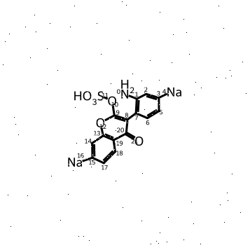 Nc1c[c]([Na])ccc1-c1c(OS(=O)(=O)O)oc2c[c]([Na])ccc2c1=O